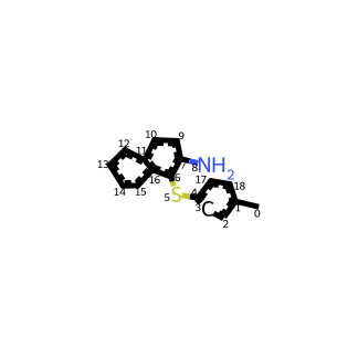 Cc1ccc(Sc2c(N)ccc3ccccc23)cc1